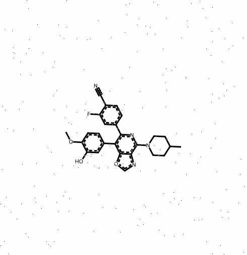 COc1ccc(-c2c(-c3ccc(C#N)c(F)c3)nc(N3CCC(C)CC3)c3ncoc23)cc1O